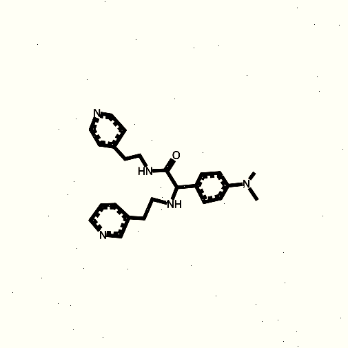 CN(C)c1ccc(C(NCCc2cccnc2)C(=O)NCCc2ccncc2)cc1